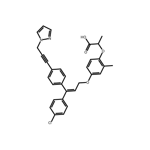 Cc1cc(OC/C=C(/c2ccc(Cl)cc2)c2ccc(C#CCn3cccn3)cc2)ccc1OC(C)C(=O)O